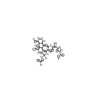 COC(=O)c1ccc(NC(=O)C[C@H]2O[C@H](c3cccc(OC)c3OC)c3cc(Cl)ccc3N(CC(C)(C)COC(C)=O)C2=O)o1